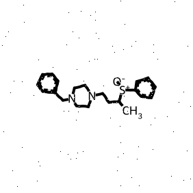 CC(CCN1CCN(Cc2ccccc2)CC1)[S+]([O-])c1ccccc1